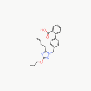 C=CCCc1nc(OCCC)nn1Cc1ccc(-c2ccccc2C(=O)O)cc1